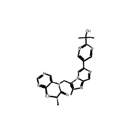 Cc1nc2cnc(-c3cnc(C(C)(C)O)nc3)cn2c1CN1C(=O)[C@@H](C)Oc2ncncc21